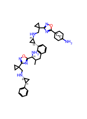 CC(Cc1cccc([C@@H]2C[C@H]2NCC2(c3noc(C45CCC(N)(CC4)CC5)n3)CC2)c1)[C@H](N)c1nc(C2(CN[C@@H]3C[C@H]3c3ccccc3)CC2)no1